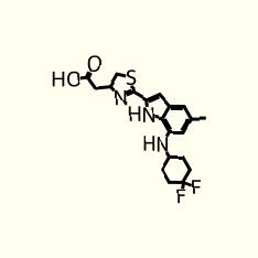 Cc1cc(NC2CCC(F)(F)CC2)c2[nH]c(C3=NC(CC(=O)O)CS3)cc2c1